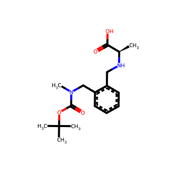 C[C@@H](NCc1ccccc1CN(C)C(=O)OC(C)(C)C)C(=O)O